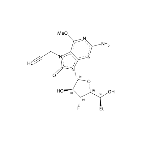 C#CCn1c(=O)n([C@@H]2O[C@H]([C@@H](O)CC)[C@H](F)[C@H]2O)c2nc(N)nc(OC)c21